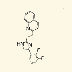 Fc1cccc(C2CNC(CCc3ccc4ccccc4n3)=N2)c1F